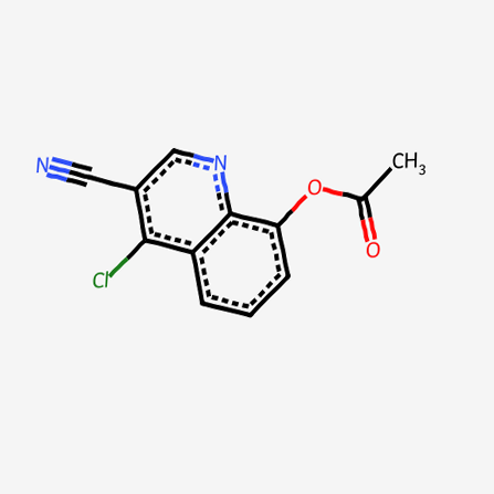 CC(=O)Oc1cccc2c(Cl)c(C#N)cnc12